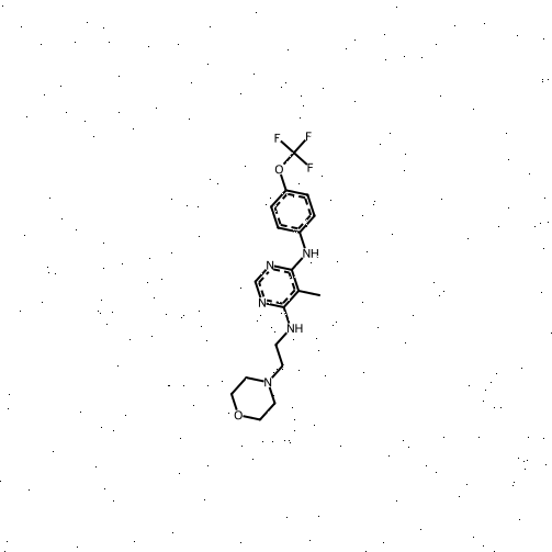 Cc1c(NCCN2CCOCC2)ncnc1Nc1ccc(OC(F)(F)F)cc1